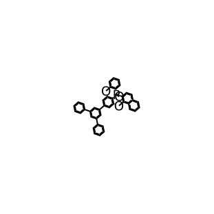 O=P12c3ccccc3Oc3cc(-c4cc(-c5ccccc5)cc(-c5ccccc5)c4)cc(c31)Oc1c2ccc2ccccc12